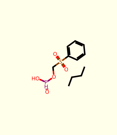 CCCC.O=[PH](O)OCS(=O)(=O)c1ccccc1